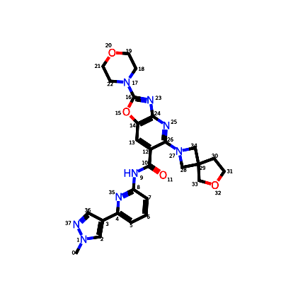 Cn1cc(-c2cccc(NC(=O)c3cc4oc(N5CCOCC5)nc4nc3N3CC4(CCOC4)C3)n2)cn1